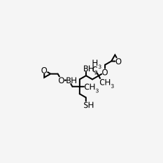 BC(CC(C)(CBOCC1CO1)CCS)CC(C)(C)OCC1CO1